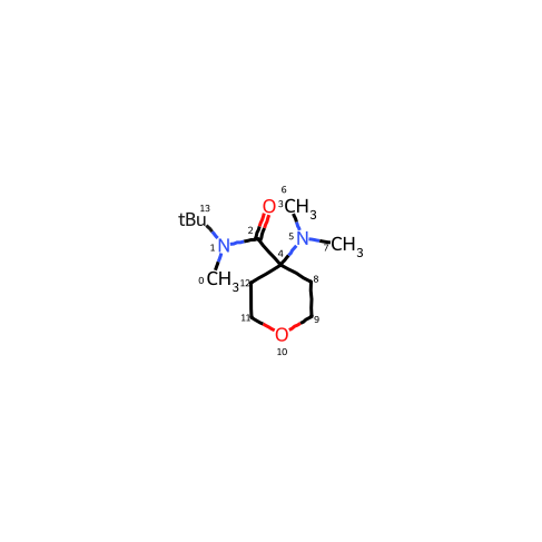 CN(C(=O)C1(N(C)C)CCOCC1)C(C)(C)C